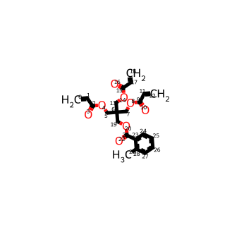 C=CC(=O)OCC(COC(=O)C=C)(COC(=O)C=C)COC(=O)c1ccccc1C